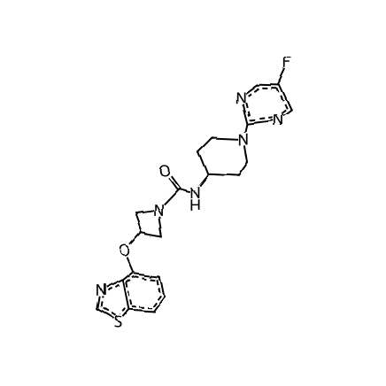 O=C(NC1CCN(c2ncc(F)cn2)CC1)N1CC(Oc2cccc3scnc23)C1